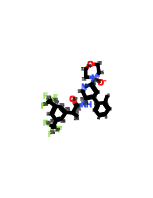 Cc1ccccc1-c1cc([N+]2([O-])CCOCC2)ncc1NC(=O)C(C)c1cc(C(F)(F)F)cc(C(F)(F)F)c1